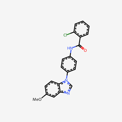 COc1ccc2c(c1)ncn2-c1ccc(NC(=O)c2ccccc2Cl)cc1